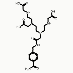 NC(=O)c1ccc(CNC(=O)CN(CCNCC(=O)O)CCN(CCNCC(=O)O)CC(=O)O)cc1